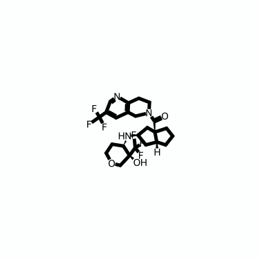 O=C(N1CCc2ncc(C(F)(F)F)cc2C1)[C@@]12CCC[C@@H]1C[C@@H](N[C@H]1CCOC[C@@]1(O)C(F)(F)F)C2